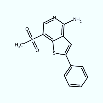 CS(=O)(=O)c1cnc(N)c2cc(-c3ccccc3)sc12